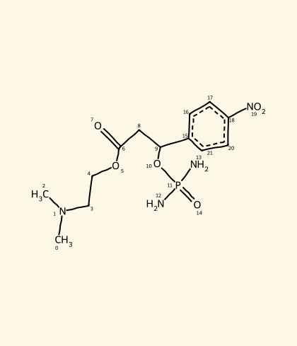 CN(C)CCOC(=O)CC(OP(N)(N)=O)c1ccc([N+](=O)[O-])cc1